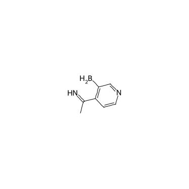 Bc1cnccc1C(C)=N